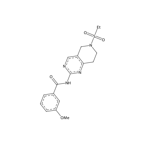 CCS(=O)(=O)N1CCc2nc(NC(=O)c3cccc(OC)c3)ncc2C1